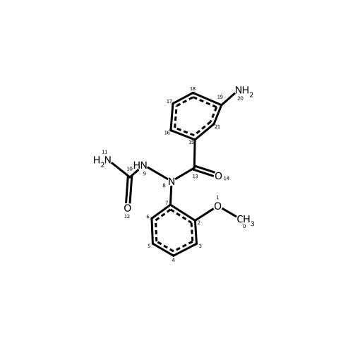 COc1ccccc1N(NC(N)=O)C(=O)c1cccc(N)c1